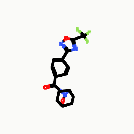 O=C(c1ccc(-c2noc(C(F)(F)F)n2)cc1)N1OC2CCC1CC2